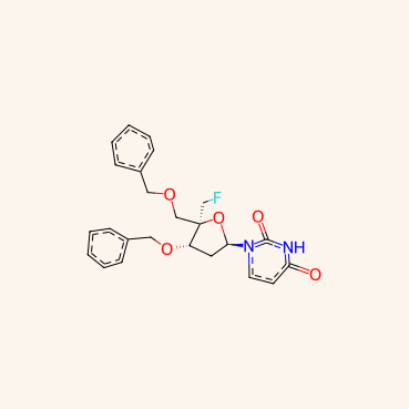 O=c1ccn([C@H]2C[C@H](OCc3ccccc3)[C@@](CF)(COCc3ccccc3)O2)c(=O)[nH]1